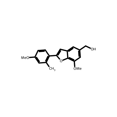 COc1ccc(-c2cc3cc(CO)cc(OC)c3o2)c(C)c1